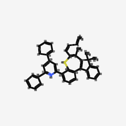 C=C/C=C\C1=C(C)C2=C(c3ccccc3C2(C)C)c2cccc(-c3cc(-c4ccccc4)cc(-c4ccccc4)n3)c2S1